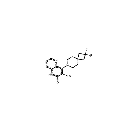 N#Cc1c(N2CCC3(CC2)CC(F)(F)C3)c2ncccc2[nH]c1=O